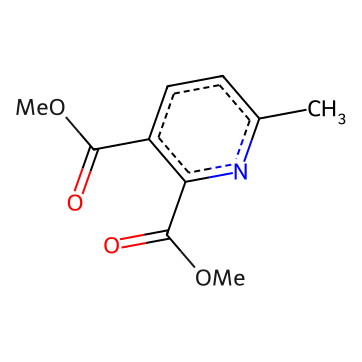 COC(=O)c1ccc(C)nc1C(=O)OC